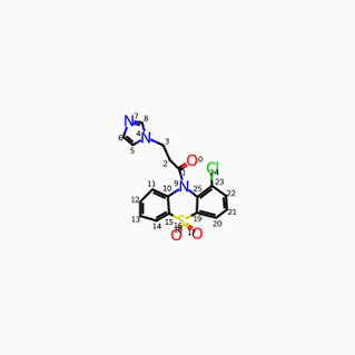 O=C(CCn1ccnc1)N1c2ccccc2S(=O)(=O)c2cccc(Cl)c21